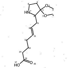 COC1(OC)CCNC1CC=CCCCC(=O)O